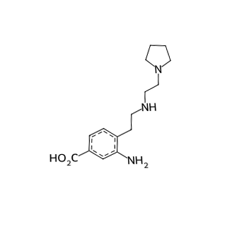 Nc1cc(C(=O)O)ccc1CCNCCN1CCCC1